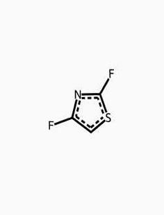 Fc1csc(F)n1